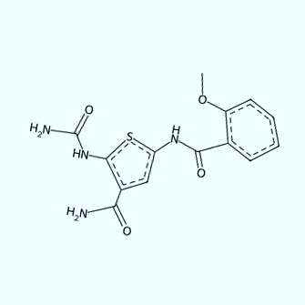 COc1ccccc1C(=O)Nc1cc(C(N)=O)c(NC(N)=O)s1